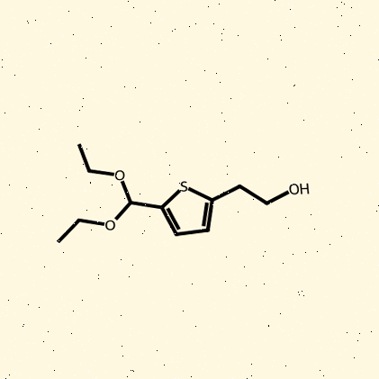 CCOC(OCC)c1ccc(CCO)s1